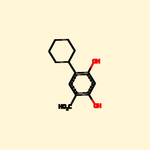 O=C(O)c1cc(C2CCCCC2)c(O)cc1O